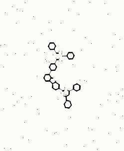 c1ccc(-c2nc(-c3ccccc3)nc(-c3ccc(-c4cccc5c4sc4cc(-c6nc(-c7ccccc7)c7oc8ccccc8c7n6)ccc45)cc3)n2)cc1